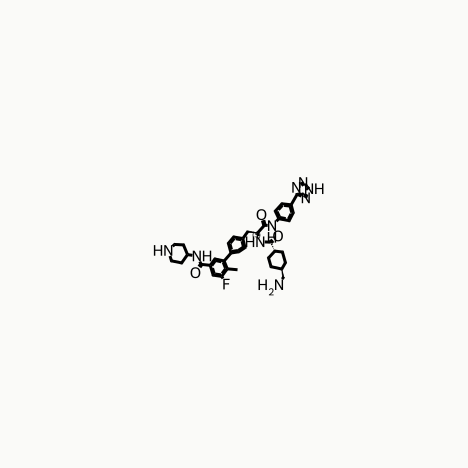 Cc1c(F)cc(C(=O)NC2CCNCC2)cc1-c1ccc(C[C@H](NC(=O)[C@H]2CC[C@H](CN)CC2)C(=O)Nc2ccc(-c3nn[nH]n3)cc2)cc1